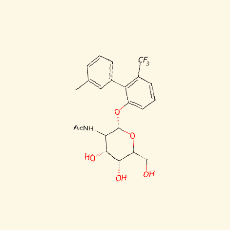 CC(=O)NC1[C@H](Oc2cccc(C(F)(F)F)c2-c2cccc(C)c2)OC(CO)[C@H](O)[C@@H]1O